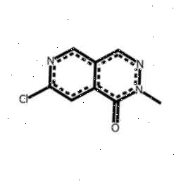 Cn1ncc2cnc(Cl)cc2c1=O